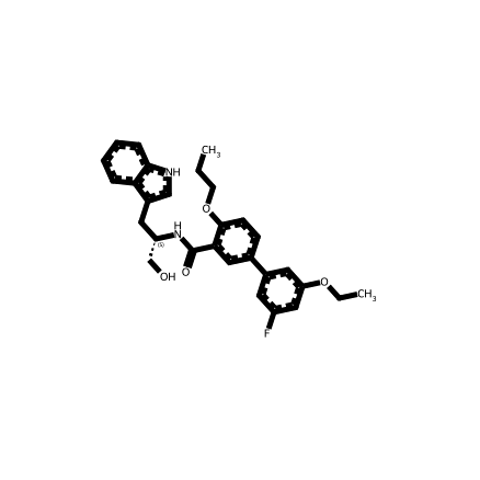 CCCOc1ccc(-c2cc(F)cc(OCC)c2)cc1C(=O)N[C@H](CO)Cc1c[nH]c2ccccc12